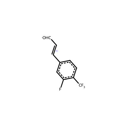 O=[C]/C=C/c1ccc(C(F)(F)F)c(F)c1